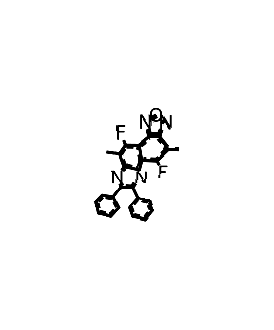 Cc1c(F)c2c3nonc3c(C)c(F)c2c2nc(-c3ccccc3)c(-c3ccccc3)nc12